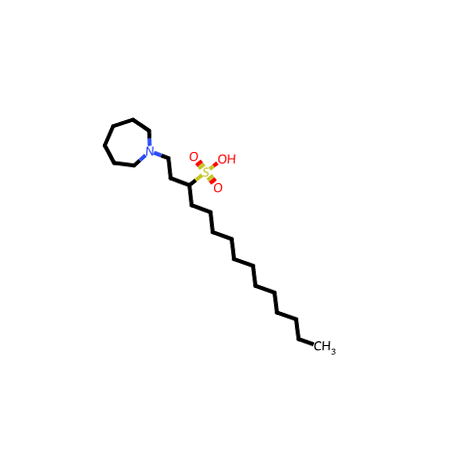 CCCCCCCCCCCCC(CCN1CCCCCC1)S(=O)(=O)O